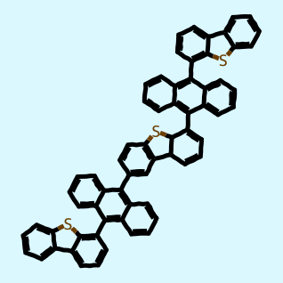 C1=CC2c3cc(-c4c5ccccc5c(-c5cccc6c5sc5ccccc56)c5ccccc45)ccc3SC2C(c2c3ccccc3c(-c3cccc4c3sc3ccccc34)c3ccccc23)=C1